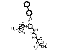 CC(C)(C)OC(=O)NCC(=O)N[C@@H]1C[C@@H](COc2ccc(-c3ccccc3)cc2)N(C(=O)OC(C)(C)C)C1